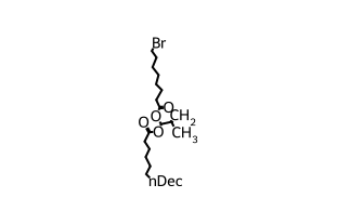 C=C(C)C(OC(=O)CCCCCCCBr)OC(=O)CCCCCCCCCCCCCCC